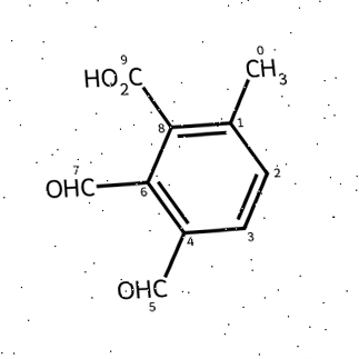 Cc1ccc(C=O)c(C=O)c1C(=O)O